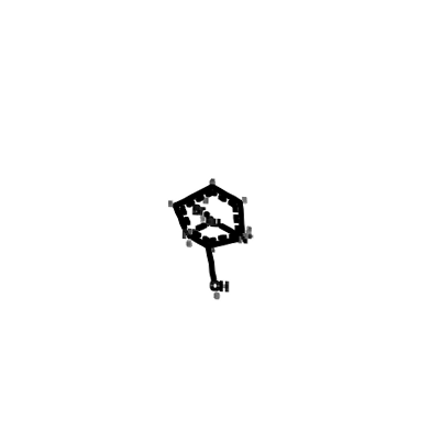 Oc1[n+]2ccc[n+]1[Ru]2[Br]